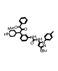 COC(C(=O)C(c1cccc(NC(=O)Nc2cc(C(C)(C)C)nn2-c2ccc(C)cc2)c1)C1CCNCC1)c1ccccc1